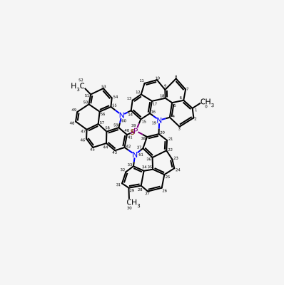 Cc1ccc2c3c1ccc1ccc4cc5c6c(c4c13)N2c1cc2ccc3ccc4c(C)ccc7c4c3c2c2c1P6(=S)c1c(cc3ccc4ccc6c(C)ccc8c6c4c3c1N58)N27